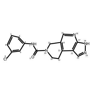 O=C(Nc1cccc(Cl)c1)N1CCc2c(cnc3[nH]ncc23)C1